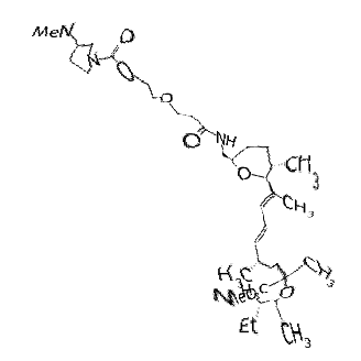 CC[C@H](OC)C(C)OC(C)(C)C[C@H](C)/C=C/C=C(\C)[C@H]1O[C@@H](CNC(=O)CCOCCOC(=O)N2CCC(NC)C2)CC[C@@H]1C